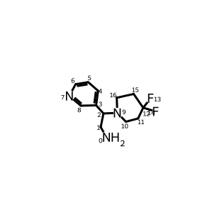 NCC(c1cccnc1)N1CCC(F)(F)CC1